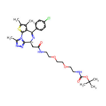 Cc1sc2c(c1C)C(c1ccc(Cl)cc1)=N[C@@H](CC(=O)NCCOCCOCCNC(=O)OC(C)(C)C)c1nnc(C)n1-2